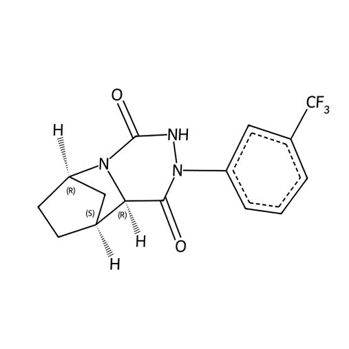 O=C1[C@H]2[C@H]3CC[C@H](C3)N2C(=O)NN1c1cccc(C(F)(F)F)c1